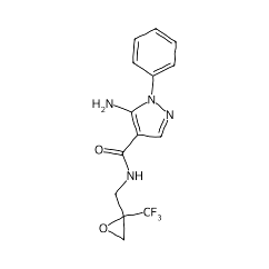 Nc1c(C(=O)NCC2(C(F)(F)F)CO2)cnn1-c1ccccc1